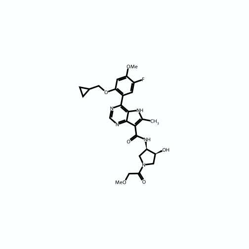 COCC(=O)N1C[C@H](O)[C@H](NC(=O)c2c(C)[nH]c3c(-c4cc(F)c(OC)cc4OCC4CC4)ncnc23)C1